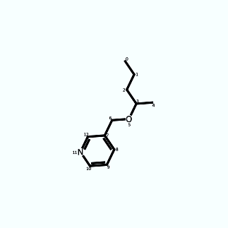 CCCC(C)OCc1cccnc1